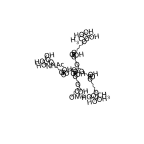 COCCCOCC(CO)COCCCOP(=O)(O)OCC(COCCCCP(=O)(O)OCCCCCCO[C@@H]1OC(CO)[C@H](O)[C@H](O)C1C)(COCCCOP(=O)(O)OCCCCCCO[C@@H]1OC(CO)[C@H](O)[C@H](O)C1C)COCCCOP(=O)(O)OCCCCCCO[C@@H]1OC(CO)[C@H](O)[C@H](O)C1NC(C)=O